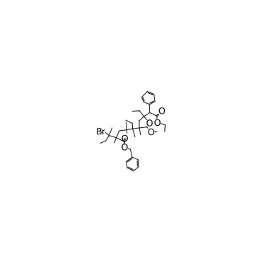 CCOC(=O)C(c1ccccc1)C(C)(CC)CC(C)(C(=O)OC)C(C)(CC)C(C)(C)CC(C)(C(=O)OCc1ccccc1)C(C)(Br)CC